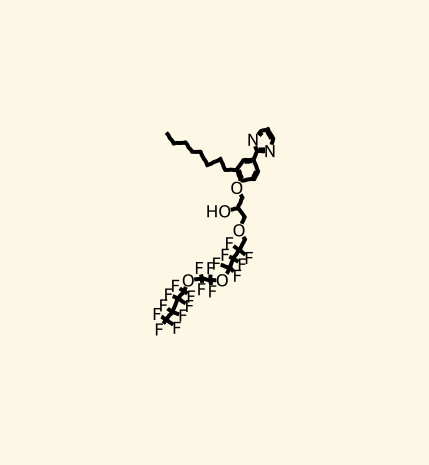 CCCCCCCCc1cc(-c2ncccn2)ccc1OCC(O)COCC(F)(F)C(F)(F)C(F)(F)OC(F)(F)C(F)(F)OC(F)(F)C(F)(F)C(F)(F)C(F)(F)F